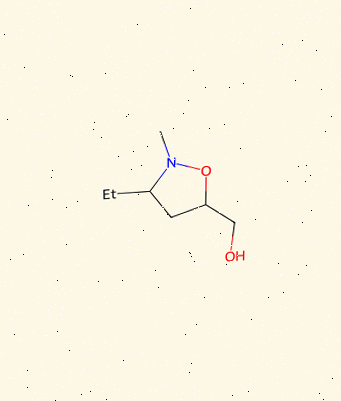 CCC1CC(CO)ON1C